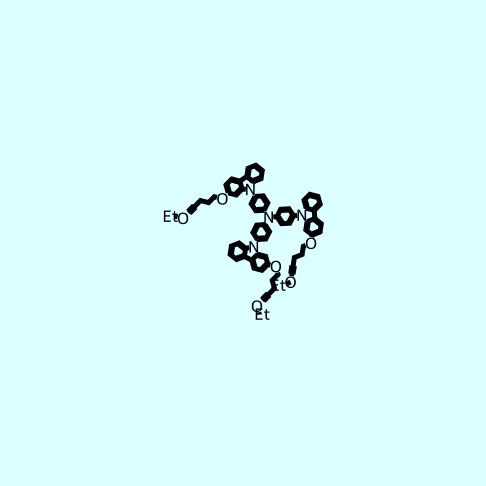 CCOC#CCCCOc1ccc2c3ccccc3n(-c3ccc(N(c4ccc(-n5c6ccccc6c6ccc(OCCCC#COCC)cc65)cc4)c4ccc(-n5c6ccccc6c6ccc(OCCCC#COCC)cc65)cc4)cc3)c2c1